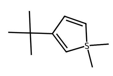 CC(C)(C)C1=CS(C)(C)C=C1